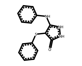 O=c1[nH][nH]c(Nc2ccccc2)c1Sc1ccccc1